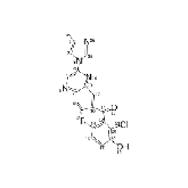 Cc1cn(-c2cnc3ccc(C(=O)c4c(F)ccc(O)c4Cl)cc3n2)cn1